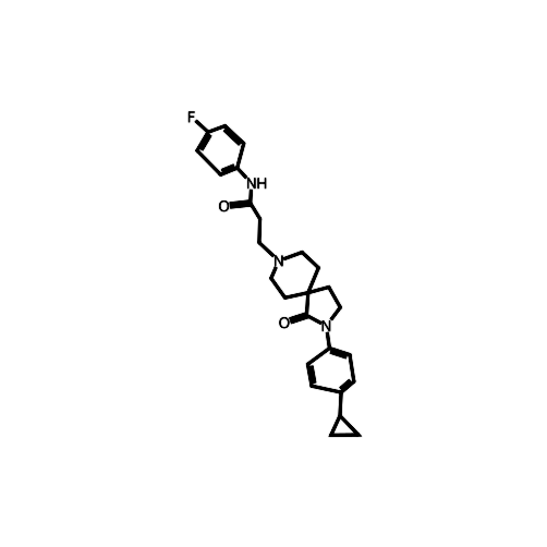 O=C(CCN1CCC2(CC1)CCN(c1ccc(C3CC3)cc1)C2=O)Nc1ccc(F)cc1